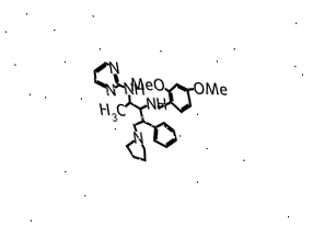 COc1ccc(CNC(C(C)Nc2ncccn2)C(CN2CCCC2)c2ccccc2)c(OC)c1